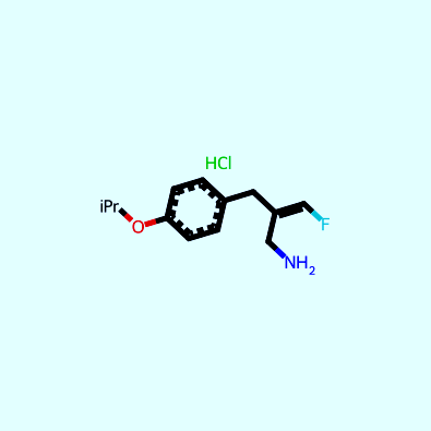 CC(C)Oc1ccc(C/C(=C/F)CN)cc1.Cl